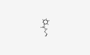 C=CCON(C)c1ccccc1